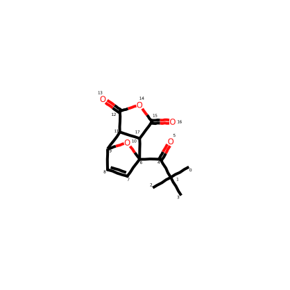 CC(C)(C)C(=O)C12C=CC(O1)C1C(=O)OC(=O)C12